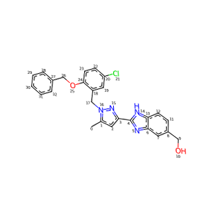 Cc1cc(-c2nc3cc(CO)ccc3[nH]2)nn1Cc1cc(Cl)ccc1OCc1ccccc1